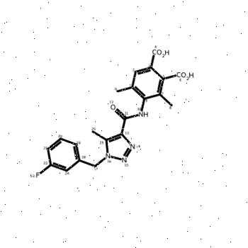 Cc1cc(C(=O)O)c(C(=O)O)c(C)c1NC(=O)c1nnn(Cc2cccc(F)c2)c1C